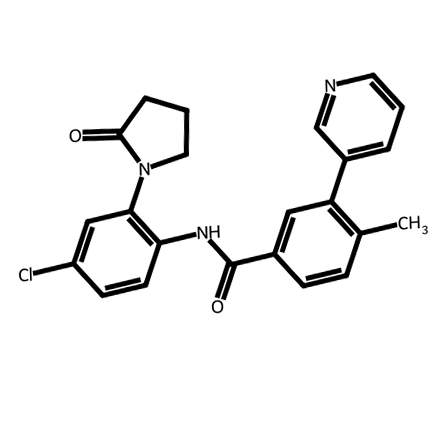 Cc1ccc(C(=O)Nc2ccc(Cl)cc2N2CCCC2=O)cc1-c1cccnc1